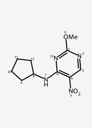 COc1ncc([N+](=O)[O-])c(NC2CCCC2)n1